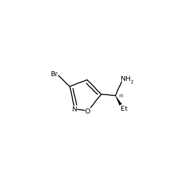 CC[C@H](N)c1cc(Br)no1